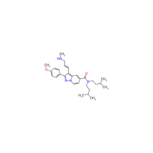 CNC/C=C/c1c(-c2ccc(OC)cc2)nn2ccc(C(=O)N(CCC(C)C)CCC(C)C)cc12